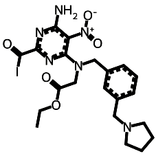 CCOC(=O)CN(Cc1cccc(CN2CCCC2)c1)c1nc(C(=O)I)nc(N)c1[N+](=O)[O-]